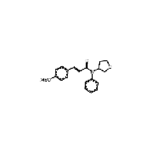 COc1ccc(/C=C/C(=O)N(c2ccccc2)C2CCOC2)cc1